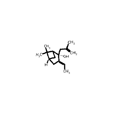 C=C(C)C[C@@]1(O)/C(=C/C)C[C@H]2CC1C2(C)C